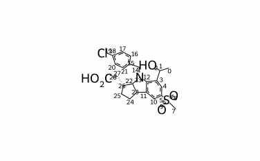 CC(O)c1cc(S(C)(=O)=O)cc2c1N(Cc1ccc(Cl)cc1)C1C2CC[C@@H]1CC(=O)O